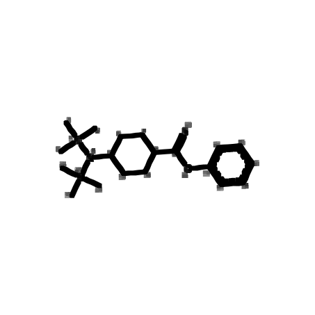 C[Si](C)(C)N(C1CCC(C(=S)Oc2ccccc2)CC1)[Si](C)(C)C